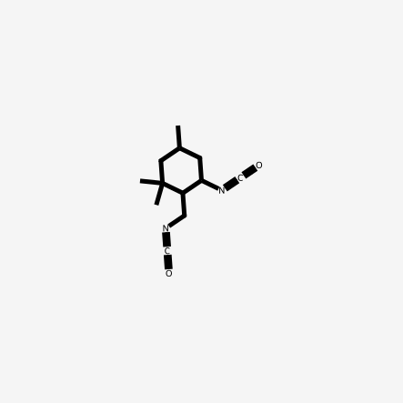 CC1CC(N=C=O)C(CN=C=O)C(C)(C)C1